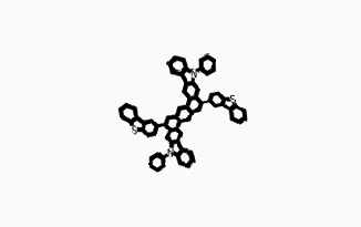 c1ccc(-n2c3ccccc3c3cc4c(cc32)c(-c2ccc3sc5ccccc5c3c2)cc2cc3c(cc(-c5ccc6sc7ccccc7c6c5)c5cc6c(cc53)c3ccccc3n6-c3ccccc3)cc24)cc1